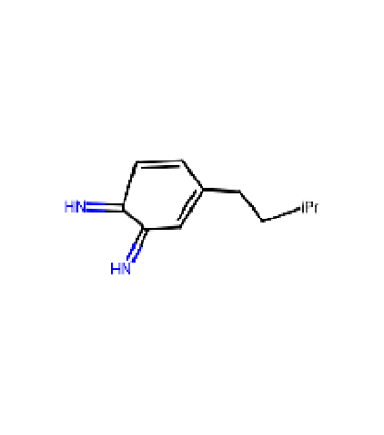 CC(C)CCC1=CC(=N)C(=N)C=C1